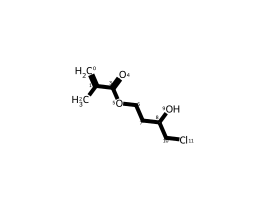 C=C(C)C(=O)OCCC(O)CCl